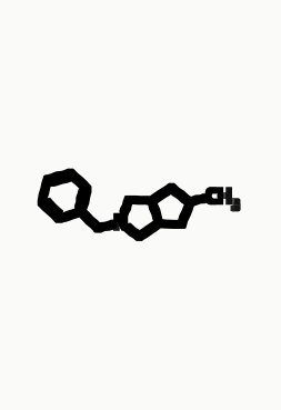 CC1CC2CN(Cc3ccccc3)CC2C1